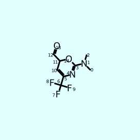 CN(C)C1=NC(C(F)(F)F)=CC(C=O)O1